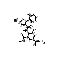 CNC(=O)c1cc(C(N)=O)cc(C)c1NC(=O)c1cc(Br)nn1-c1ncccc1Cl